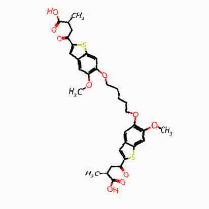 COc1cc2sc(C(=O)C[C@H](C)C(=O)O)cc2cc1OCCCCCOc1cc2sc(C(=O)C[C@H](C)C(=O)O)cc2cc1OC